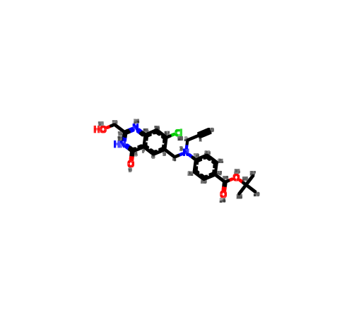 C#CCN(Cc1cc2c(=O)[nH]c(CO)nc2cc1Cl)c1ccc(C(=O)OC(C)(C)C)cc1